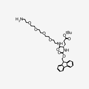 CC(C)(C)OC(=O)CC[C@@H](NC(=O)OCC1c2ccccc2-c2ccccc21)C(=O)NCCOCCOCCOCCOCCN